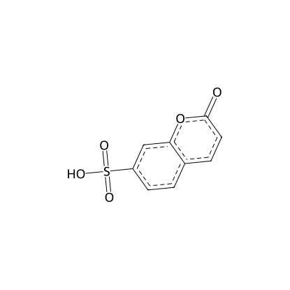 O=c1ccc2ccc(S(=O)(=O)O)cc2o1